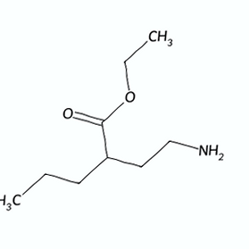 CCCC(CCN)C(=O)OCC